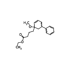 CCOC(=O)CCCC1(OC)C=CC=C(c2ccccc2)C1